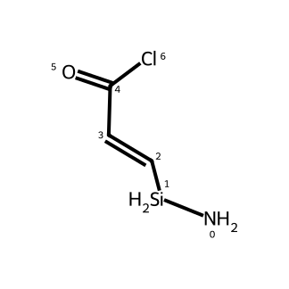 N[SiH2]C=CC(=O)Cl